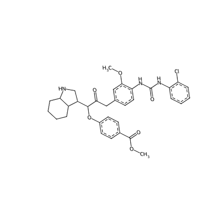 COC(=O)c1ccc(OC(C(=O)Cc2ccc(NC(=O)Nc3ccccc3Cl)c(OC)c2)C2CNC3CCCCC32)cc1